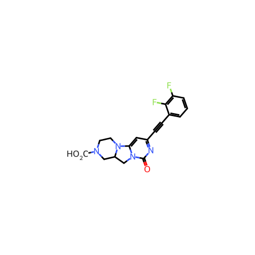 O=C(O)N1CCN2c3cc(C#Cc4cccc(F)c4F)nc(=O)n3CC2C1